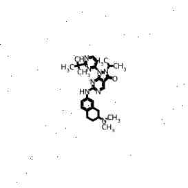 CC(C)n1c(=O)c2cnc(Nc3ccc4c(c3)CC(N(C)C)CC4)nc2n1-c1ccnc(C(C)(C)C)n1